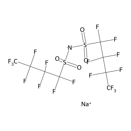 O=S(=O)([N]S(=O)(=O)C(F)(F)C(F)(F)C(F)(F)C(F)(F)F)C(F)(F)C(F)(F)C(F)(F)C(F)(F)F.[Na+]